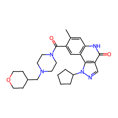 Cc1cc2[nH]c(=O)c3cnn(C4CCCC4)c3c2cc1C(=O)N1CCN(CC2CCOCC2)CC1